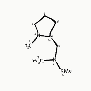 CSN(C)C[C@@H]1CCCN1C